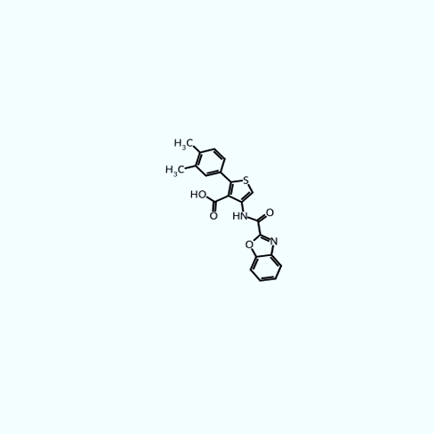 Cc1ccc(-c2scc(NC(=O)c3nc4ccccc4o3)c2C(=O)O)cc1C